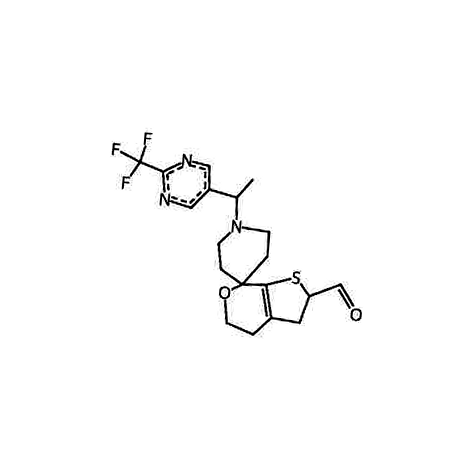 CC(c1cnc(C(F)(F)F)nc1)N1CCC2(CC1)OCCC1=C2SC(C=O)C1